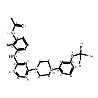 CC(=O)Nc1cccc(Nc2ncnc(N3CCN(c4cccc(OC(F)(F)F)c4)CC3)n2)c1C